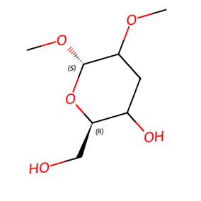 COC1CC(O)[C@@H](CO)O[C@@H]1OC